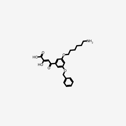 NCCCCCCOc1cc(OCc2ccccc2)cc(C(=O)/C=C(\O)C(=O)O)c1